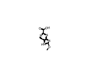 COc1nc2nc(C(=O)O)ncc2[nH]1